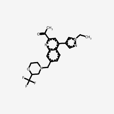 CCn1cc(-c2cc(C(C)=O)nc3cc(CN4CCOC(C(F)(F)F)C4)ccc23)cn1